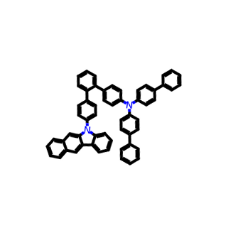 c1ccc(-c2ccc(N(c3ccc(-c4ccccc4)cc3)c3ccc(-c4ccccc4-c4ccc(-n5c6ccccc6c6cc7ccccc7cc65)cc4)cc3)cc2)cc1